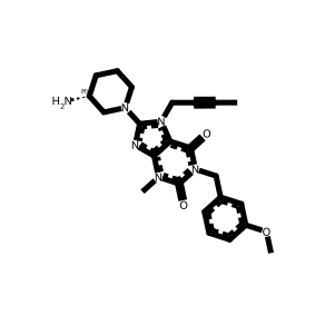 CC#CCn1c(N2CCC[C@@H](N)C2)nc2c1c(=O)n(Cc1cccc(OC)c1)c(=O)n2C